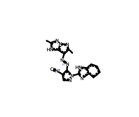 [C-]#[N+]c1cnn(-c2nc3ccccc3[nH]2)c1/N=N/c1c(C)nn2nc(C)[nH]c12